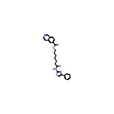 O=C(CCCCCCOC(=S)c1ccc2cnccc2c1)Nc1nc(-c2ccccc2)cs1